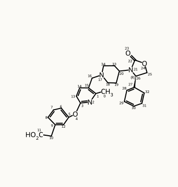 Cc1nc(Oc2cccc(CC(=O)O)c2)ccc1CN1CCC(N2C(=O)OC[C@H]2c2ccccc2)CC1